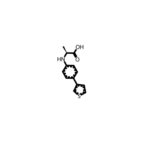 C[C@H](Nc1ccc(-c2ccsc2)cc1)C(=O)O